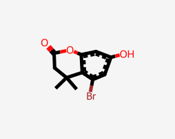 CC1(C)CC(=O)Oc2cc(O)cc(Br)c21